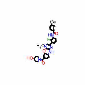 Cn1cc(-c2cccc(NC(=O)c3ccc(C(C)(C)C)cc3)c2F)nc(Nc2ccc(C(=O)N3CCC(O)CC3)cc2)c1=O